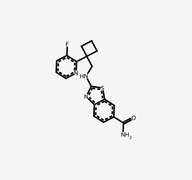 NC(=O)c1ccc2nc(NCC3(c4ncccc4F)CCC3)sc2c1